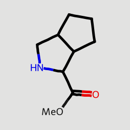 COC(=O)C1NCC2CCCC21